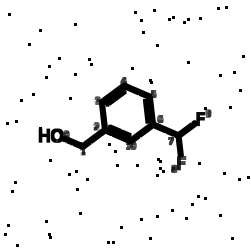 OCc1cccc(C(F)F)c1